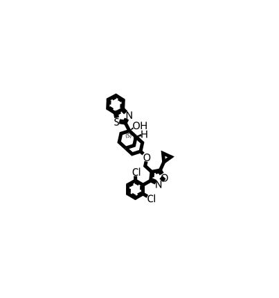 O[C@@]1(c2nc3ccccc3s2)CCC2CC(OCc3c(-c4c(Cl)cccc4Cl)noc3C3CC3)C[C@@H]1C2